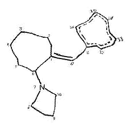 C(=C1CCCCC1N1CCC1)c1ccccc1